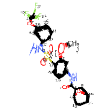 COc1cc(NC(=O)C2CC3CCC2O3)ccc1S(=O)(=O)Nc1cccc(OC(F)(F)F)c1